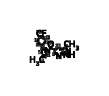 Cc1n[nH]c2ncc(C(=O)N3C[C@@H](C)C[C@@H]3c3ccc(C(F)(F)F)cc3)cc12